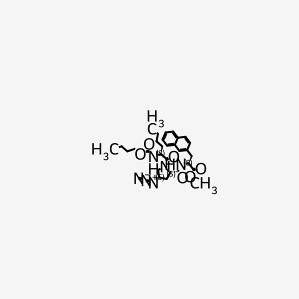 CCCCOC(=O)N[C@@H](CCCC)C(=O)N1C[C@@H](N=[N+]=[N-])C[C@H]1C(=O)N[C@@H](Cc1ccc2ccccc2c1)C(=O)OC